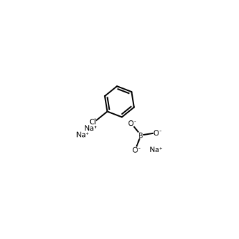 Clc1ccccc1.[Na+].[Na+].[Na+].[O-]B([O-])[O-]